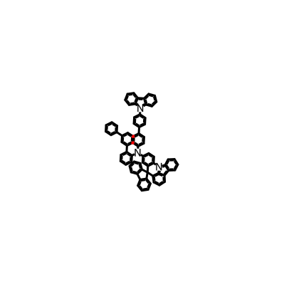 c1ccc(-c2cccc(-c3ccccc3N(c3ccc(-c4ccc(-n5c6ccccc6c6ccccc65)cc4)cc3)c3ccc4c(c3)C3(c5ccccc5-c5ccccc53)c3cccc5c6ccccc6n-4c35)c2)cc1